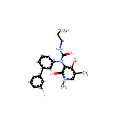 Cc1cn(C)c(=O)c(N(C(=O)NCCC(=O)O)c2cccc(-c3cccc(F)c3)c2)c1O